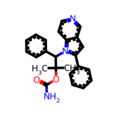 CC(C)(OC(N)=O)C(c1ccccc1)n1c(-c2ccccc2)cc2cnccc21